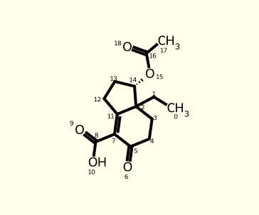 CCC12CCC(=O)C(C(=O)O)=C1CC[C@@H]2OC(C)=O